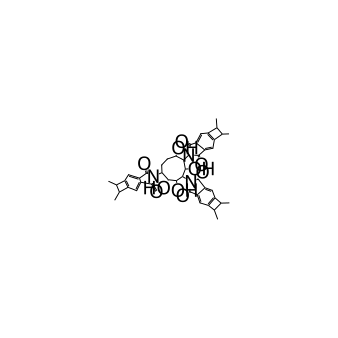 CC1c2cc3c(cc2C1C)C(=O)N(C1CCC(O)C(N2C(=O)c4cc5c(cc4C2=O)C(C)C5C)C(O)C(N2C(=O)c4cc5c(cc4C2=O)C(C)C5C)C(O)C1O)C3=O